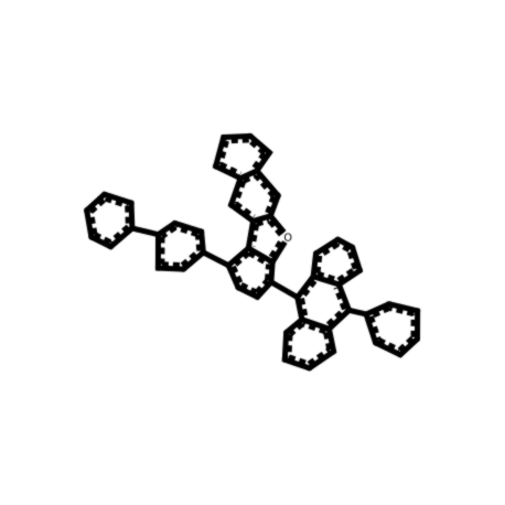 c1ccc(-c2ccc(-c3ccc(-c4c5ccccc5c(-c5ccccc5)c5ccccc45)c4oc5cc6ccccc6cc5c34)cc2)cc1